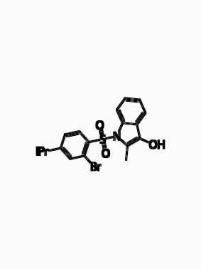 Cc1c(O)c2ccccc2n1S(=O)(=O)c1ccc(C(C)C)cc1Br